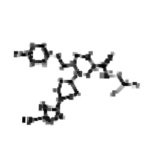 Nc1nnc(N2CCC(N3C[C@H](C(=O)NCC(F)F)OC[C@@H]3CCc3ccc(Cl)cc3)CC2)[nH]1